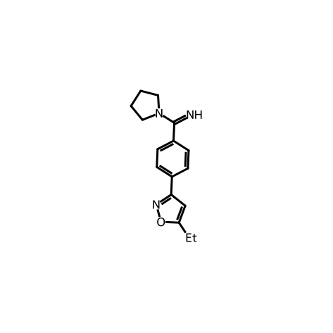 CCc1cc(-c2ccc(C(=N)N3CCCC3)cc2)no1